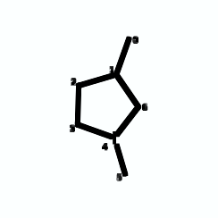 CC1CCI(C)C1